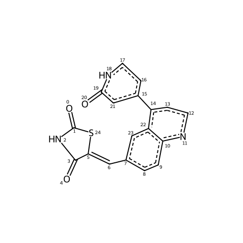 O=C1NC(=O)C(=Cc2ccc3nccc(-c4cc[nH]c(=O)c4)c3c2)S1